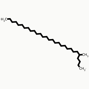 [CH2]CCCCCCCCCCCCCCCCCCCCCCCC(C)CCC[CH2]